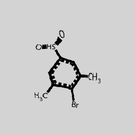 Cc1cc([SH](=O)=O)cc(C)c1Br